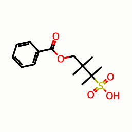 CC(C)(COC(=O)c1ccccc1)C(C)(C)S(=O)(=O)O